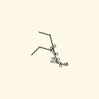 CCCCCCCC/C=C\CCCCCCCC(=O)OCC(COC(=O)CCNC(=O)C(O)C(C)(C)COC(=O)CCN1CCCC1)OC(=O)CCCCCCC/C=C\CCCCCCCC